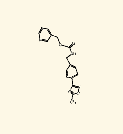 O=C(NCc1ccc(-c2noc(C(F)(F)F)n2)cc1)OCc1cccnc1